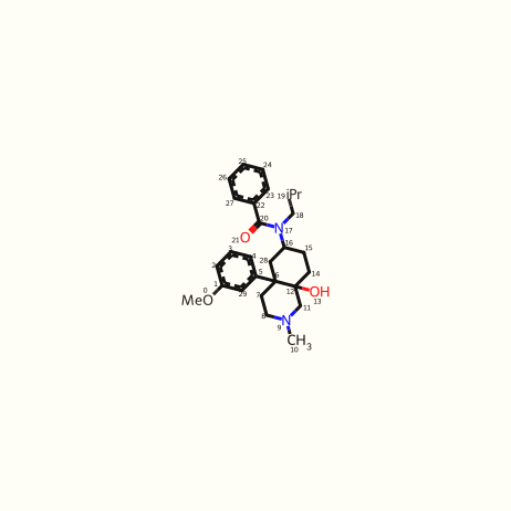 COc1cccc(C23CCN(C)CC2(O)CCC(N(CC(C)C)C(=O)c2ccccc2)C3)c1